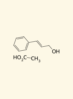 CC(=O)O.OCC=Cc1ccccc1